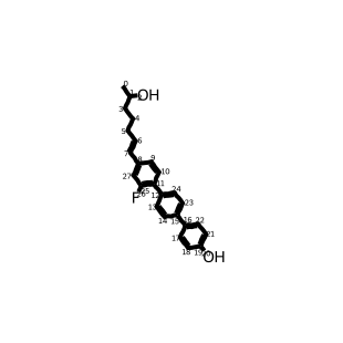 CC(O)CCCC=Cc1ccc(-c2ccc(-c3ccc(O)cc3)cc2)c(F)c1